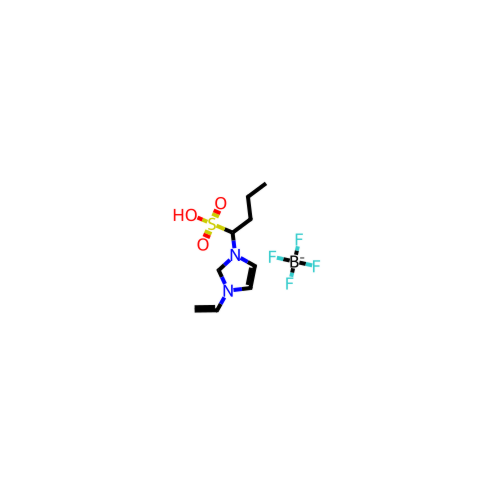 C=CN1C=CN(C(CCC)S(=O)(=O)O)C1.F[B-](F)(F)F